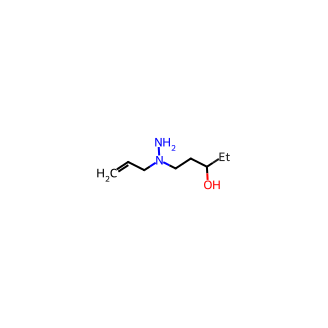 C=CCN(N)CCC(O)CC